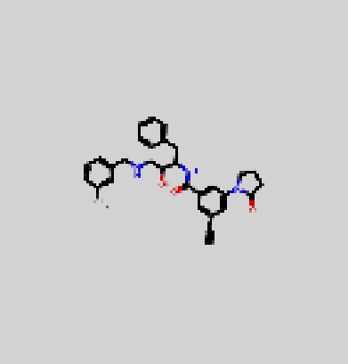 C#Cc1cc(C(=O)NC(Cc2ccccc2)C(O)CNCc2cccc(C(F)(F)F)c2)cc(N2CCCC2=O)c1